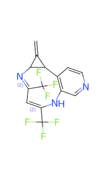 C=C1C2/N=C(C(F)(F)F)/C=C(/C(F)(F)F)Nc3cnccc3C12